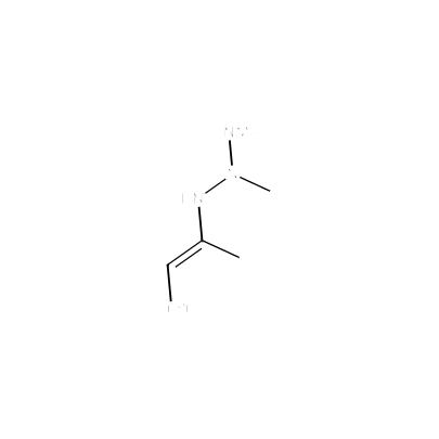 CCC/C=C(\C)NN(C)NC